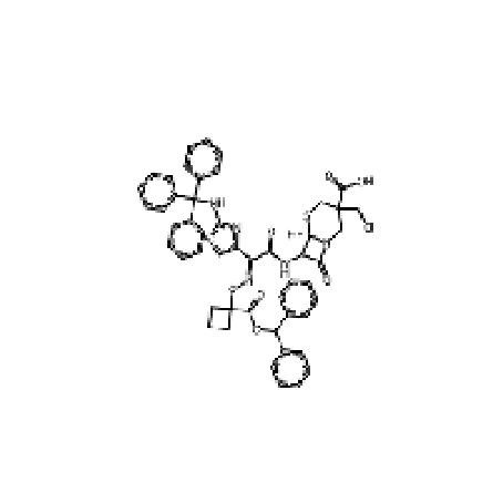 O=C(NC1C(=O)N2CC(CCl)(C(=O)O)CS[C@H]12)C(=NOC1(C(=O)OC(c2ccccc2)c2ccccc2)CCC1)c1csc(NC(c2ccccc2)(c2ccccc2)c2ccccc2)n1